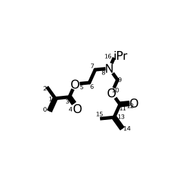 C=C(C)C(=O)OCCN(COC(=O)C(=C)C)C(C)C